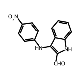 O=Cc1[nH]c2ccccc2c1Nc1ccc([N+](=O)[O-])cc1